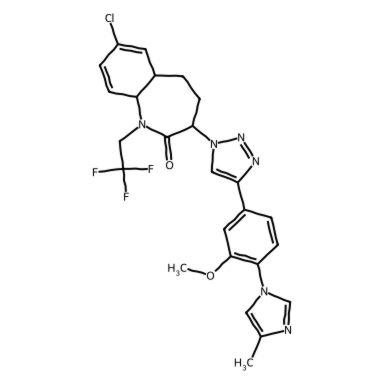 COc1cc(-c2cn(C3CCC4C=C(Cl)C=CC4N(CC(F)(F)F)C3=O)nn2)ccc1-n1cnc(C)c1